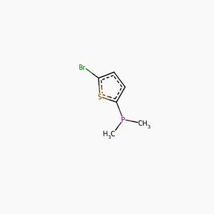 CP(C)c1ccc(Br)s1